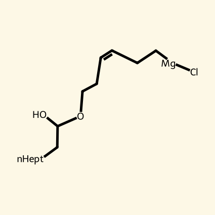 CCCCCCCCC(O)OCC/C=C\C[CH2][Mg][Cl]